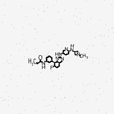 C=CC(=O)Nc1cccc(-c2c(F)ccc3cnc(Nc4ccc(NC5CN(C)C5)nc4)nc23)c1